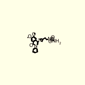 COc1cc2c(N3CC(CCNS(N)(=O)=O)C3)cn(-c3ccccc3)c(=O)c2cc1OC